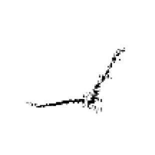 O=CCNC(=O)COCCOCCNC(=O)COCCOCCNC(=O)CC[C@H](NC(=O)CCCCCCCCCCCCCCCCC(=O)O)C(=O)O